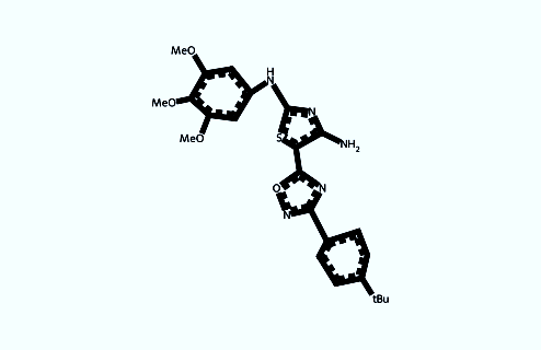 COc1cc(Nc2nc(N)c(-c3nc(-c4ccc(C(C)(C)C)cc4)no3)s2)cc(OC)c1OC